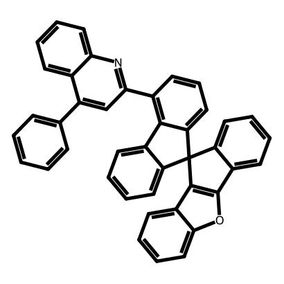 c1ccc(-c2cc(-c3cccc4c3-c3ccccc3C43c4ccccc4-c4oc5ccccc5c43)nc3ccccc23)cc1